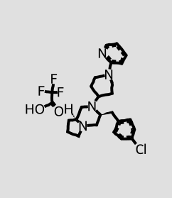 Clc1ccc(C[C@H]2CN3CCC[C@H]3CN2C2CCN(c3ccccn3)CC2)cc1.O=C(O)C(F)(F)F